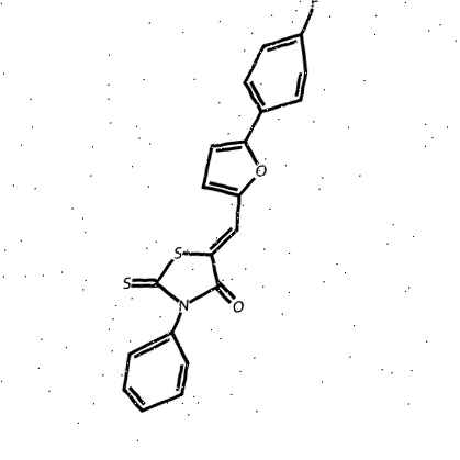 O=C1C(=Cc2ccc(-c3ccc(F)cc3)o2)SC(=S)N1c1ccccc1